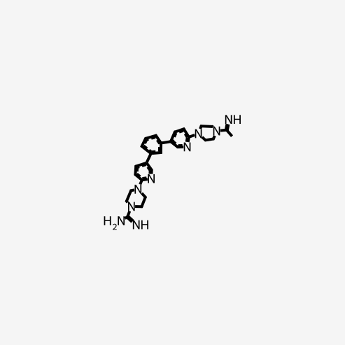 CC(=N)N1CCN(c2ccc(-c3cccc(-c4ccc(N5CCN(C(=N)N)CC5)nc4)c3)cn2)CC1